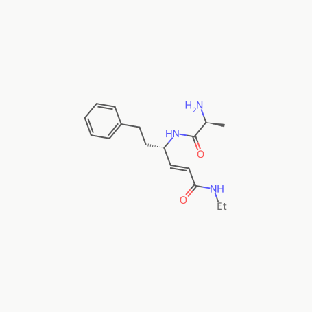 CCNC(=O)/C=C/[C@H](CCc1ccccc1)NC(=O)[C@H](C)N